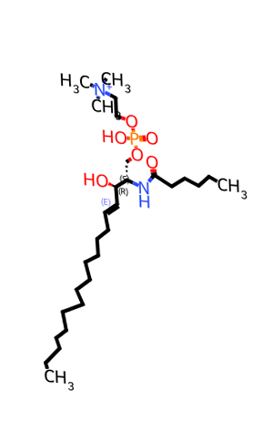 CCCCCCCCCCCCC/C=C/[C@@H](O)[C@H](COP(=O)(O)OCC[N+](C)(C)C)NC(=O)CCCCC